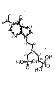 CC(C)n1cnc2c(ncn2CCN(CCP(=O)(O)O)CP(=O)(O)O)c1=O